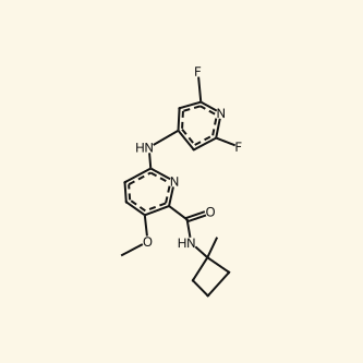 COc1ccc(Nc2cc(F)nc(F)c2)nc1C(=O)NC1(C)CCC1